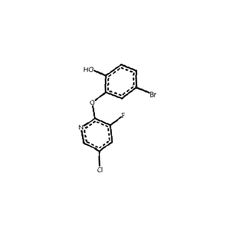 Oc1ccc(Br)cc1Oc1ncc(Cl)cc1F